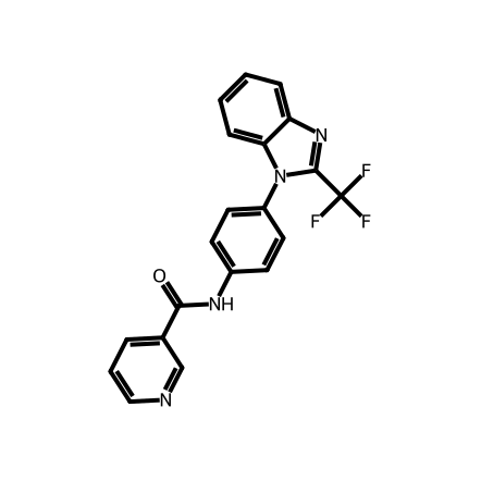 O=C(Nc1ccc(-n2c(C(F)(F)F)nc3ccccc32)cc1)c1cccnc1